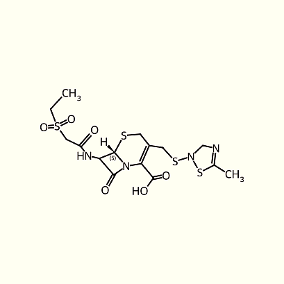 CCS(=O)(=O)CC(=O)NC1C(=O)N2C(C(=O)O)=C(CSN3CN=C(C)S3)CS[C@@H]12